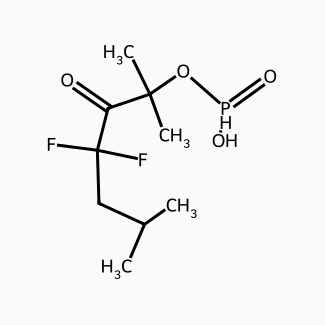 CC(C)CC(F)(F)C(=O)C(C)(C)O[PH](=O)O